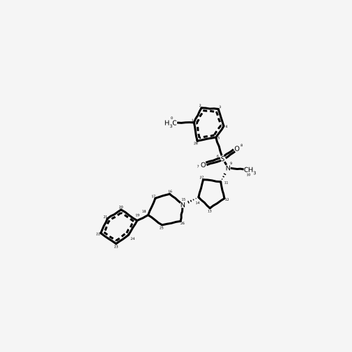 Cc1cccc(S(=O)(=O)N(C)[C@@H]2CC[C@H](N3CCC(c4ccccc4)CC3)C2)c1